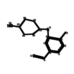 Cc1ccc(C=O)cc1SC1CCC(O)CC1